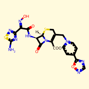 Nc1nc(/C(=N/O)C(=O)N[C@@H]2C(=O)N3C(C(=O)[O-])=C(C[n+]4ccc(-c5ncno5)cc4)CS[C@H]23)ns1